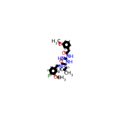 COc1cccc(CC(=O)NC(=N)N[C@H](CC(C)C)C(=O)NCc2ccc(F)c(OC)c2)c1